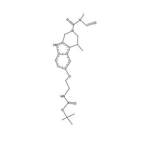 CC1CN(C(=O)N(C)C=O)Cc2[nH]c3ccc(OCCNC(=O)OC(C)(C)C)cc3c21